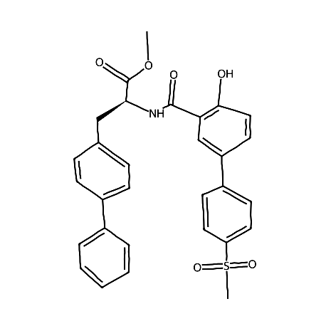 COC(=O)[C@H](Cc1ccc(-c2ccccc2)cc1)NC(=O)c1cc(-c2ccc(S(C)(=O)=O)cc2)ccc1O